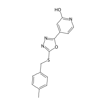 Cc1ccc(CSc2nnc(-c3ccnc(O)c3)o2)cc1